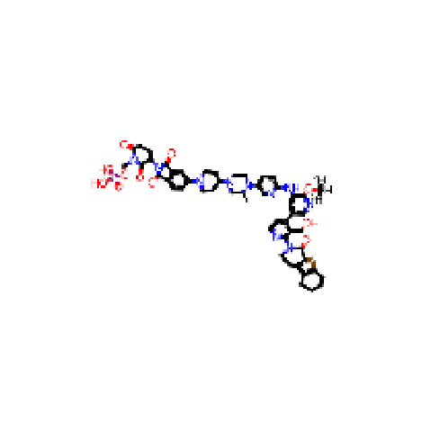 [2H]C([2H])([2H])Oc1ncc(-c2ccnc(N3CCc4c(sc5c4CCCC5)C3=O)c2CO)cc1Nc1ccc(N2CCN(C3CCN(c4ccc5c(c4)C(=O)N(C4CCC(=O)N(COP(=O)(O)O)C4=O)C5=O)CC3)C[C@@H]2C)cn1